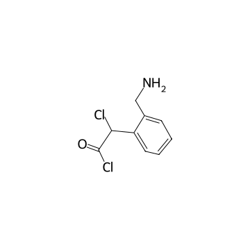 NCc1ccccc1C(Cl)C(=O)Cl